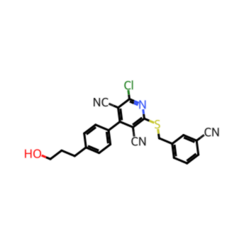 N#Cc1cccc(CSc2nc(Cl)c(C#N)c(-c3ccc(CCCO)cc3)c2C#N)c1